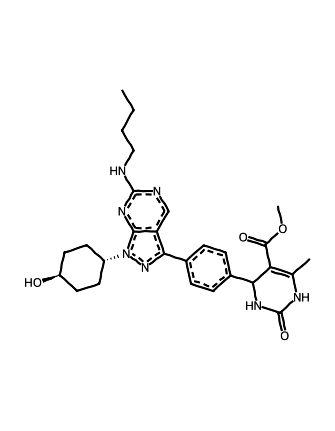 CCCCNc1ncc2c(-c3ccc(C4NC(=O)NC(C)=C4C(=O)OC)cc3)nn([C@H]3CC[C@H](O)CC3)c2n1